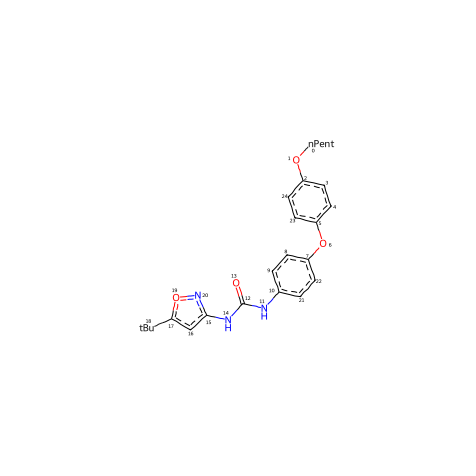 CCCCCOc1ccc(Oc2ccc(NC(=O)Nc3cc(C(C)(C)C)on3)cc2)cc1